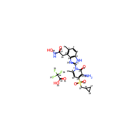 Cc1ccc2[nH]c(-n3c(C)cc(S(=O)(=O)CC4CC4)c(N)c3=O)nc2c1CC(=O)NO.O=C(O)C(F)(F)F